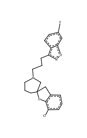 Fc1ccc2c(CCCN3CCCC4(Cc5cccc(Cl)c5O4)C3)noc2c1